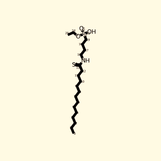 CCCCCCCCCCCCCC(=S)NCCCCP(=O)(O)OCC